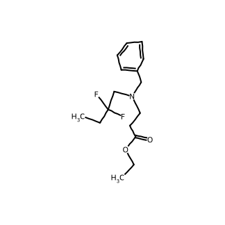 CCOC(=O)CCN(Cc1ccccc1)CC(F)(F)CC